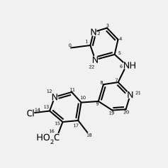 Cc1nccc(Nc2cc(-c3cnc(Cl)c(C(=O)O)c3C)ccn2)n1